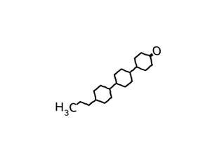 CCCC1CCC(C2CCC(C3CCC(=O)CC3)CC2)CC1